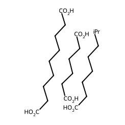 CC(C)CCCCCC(=O)O.O=C(O)CCCCC(=O)O.O=C(O)CCCCCCCC(=O)O